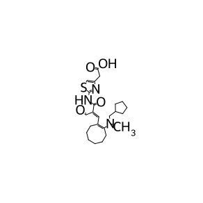 CN(CC1CCCC1)/C1=C(\C=C(/C=O)C(=O)Nc2nc(CC(=O)O)cs2)CCCCCC1